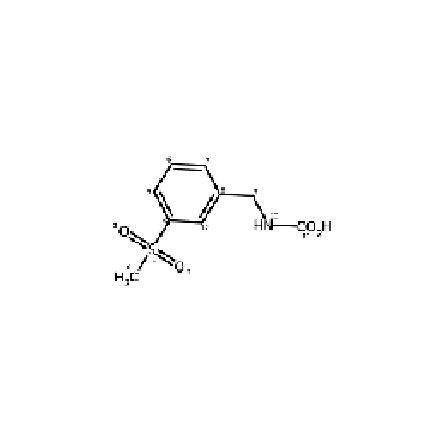 CS(=O)(=O)c1cccc(CNC(=O)O)c1